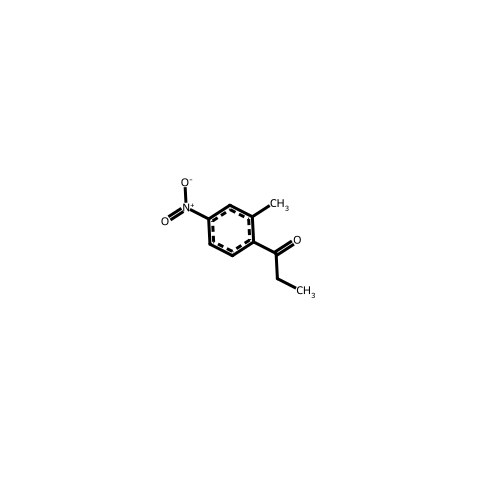 CCC(=O)c1ccc([N+](=O)[O-])cc1C